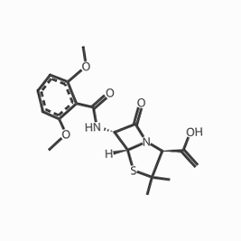 C=C(O)[C@@H]1N2C(=O)[C@@H](NC(=O)c3c(OC)cccc3OC)[C@H]2SC1(C)C